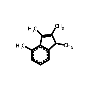 C[C]1C(C)=C(C)c2c(C)cccc21